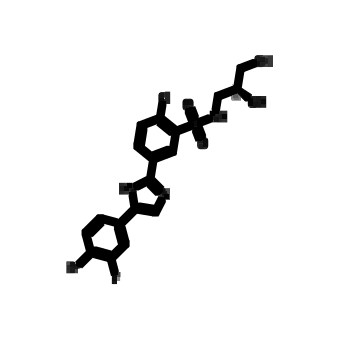 O=S(=O)(NC[C@H](O)CO)c1cc(-c2ncc(-c3ccc(Br)c(F)c3)[nH]2)ccc1Cl